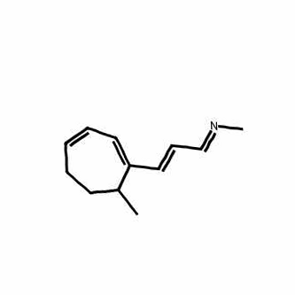 C/N=C/C=C/C1=CC=CCCC1C